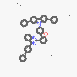 c1ccc(-c2ccc(-c3nc(-c4cccc5oc6cc(-n7c8cc(-c9ccccc9)ccc8c8ccc(-c9ccccc9)cc87)ccc6c45)nc4ccccc34)cc2)cc1